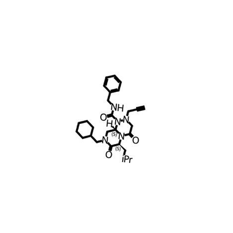 C#CCN1CC(=O)N2[C@@H](CC(C)C)C(=O)N(CC3CCCCC3)C[C@@H]2N1C(=O)NCc1ccccc1